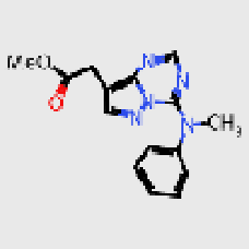 COC(=O)Cc1cnn2c(N(C)c3ccccc3)ncnc12